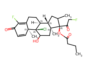 CCCC(=O)O[C@]1(C(=O)CF)C(C)C[C@H]2[C@@H]3CCC4=C(F)C(=O)C=C[C@]4(C)[C@@]3(Cl)C(O)C[C@@]21C